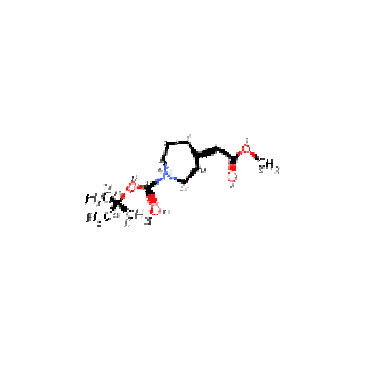 COC(=O)C=C1CCCN(C(=O)OC(C)(C)C)CC1